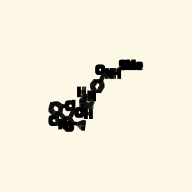 CSCCNC(=O)c1ccc(N2C[C@@H]3C[C@H]2C[C@H]3OCc2c(-c3c(Cl)cccc3Cl)noc2C2CC2)cc1